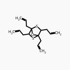 C=CCC1SC2(CC=C)OC1(CC=C)SC2CC=C